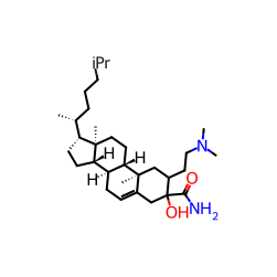 CC(C)CCC[C@@H](C)[C@H]1CC[C@H]2[C@@H]3CC=C4CC(O)(C(N)=O)C(CCN(C)C)C[C@]4(C)[C@H]3CC[C@]12C